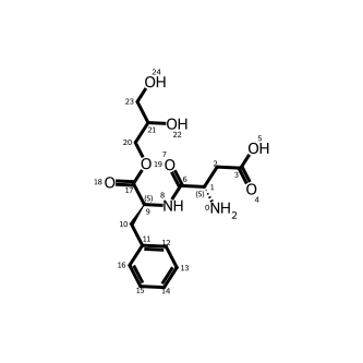 N[C@@H](CC(=O)O)C(=O)N[C@@H](Cc1ccccc1)C(=O)OCC(O)CO